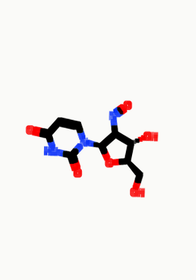 O=NC1[C@H](n2ccc(=O)[nH]c2=O)O[C@H](CO)[C@H]1O